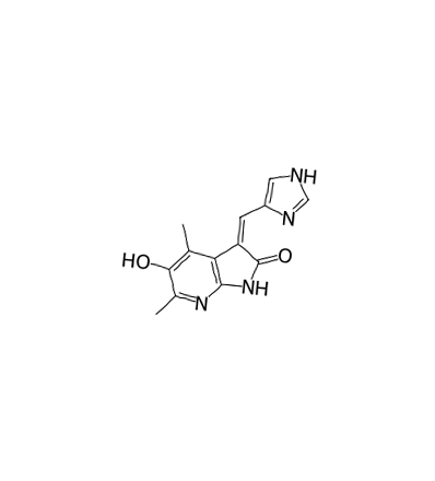 Cc1nc2c(c(C)c1O)C(=Cc1c[nH]cn1)C(=O)N2